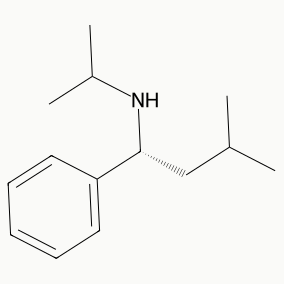 CC(C)C[C@@H](NC(C)C)c1ccccc1